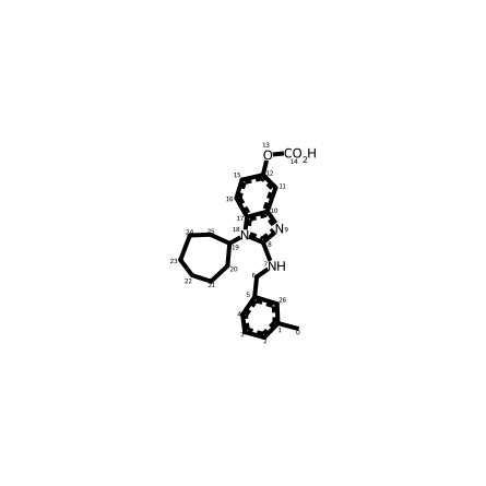 Cc1cccc(CNc2nc3cc(OC(=O)O)ccc3n2C2CCCCCC2)c1